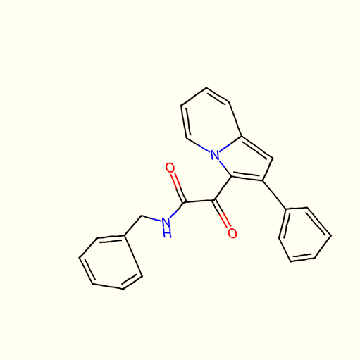 O=C(NCc1ccccc1)C(=O)c1c(-c2ccccc2)cc2ccccn12